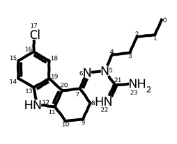 CCCCCN(/N=C1\CCCc2[nH]c3ccc(Cl)cc3c21)C(=N)N